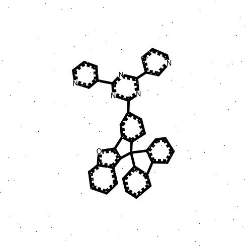 c1cncc(-c2nc(-c3cccnc3)nc(-c3ccc4c(c3)-c3oc5ccccc5c3C43c4ccccc4-c4ccccc43)n2)c1